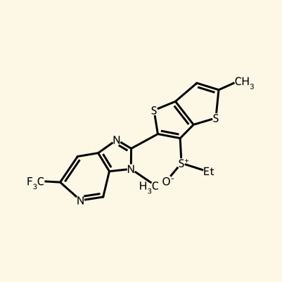 CC[S+]([O-])c1c(-c2nc3cc(C(F)(F)F)ncc3n2C)sc2cc(C)sc12